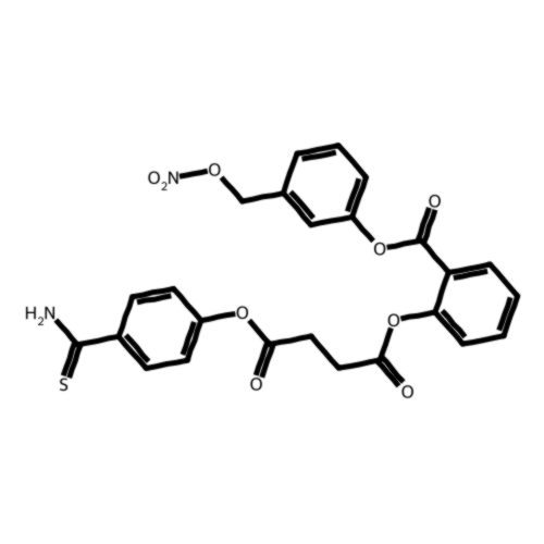 NC(=S)c1ccc(OC(=O)CCC(=O)Oc2ccccc2C(=O)Oc2cccc(CO[N+](=O)[O-])c2)cc1